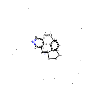 COc1ccc2c(c1)/C(=C\c1cccnc1)CCC2